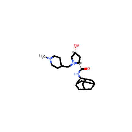 CN1CCC(CN2C[C@H](O)C[C@@H]2C(=O)NC2C3CC4CC(C3)CC2C4)CC1